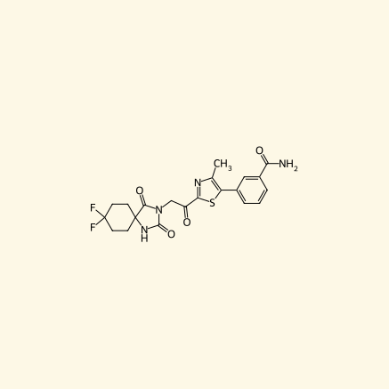 Cc1nc(C(=O)CN2C(=O)NC3(CCC(F)(F)CC3)C2=O)sc1-c1cccc(C(N)=O)c1